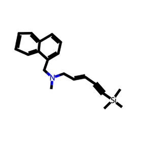 CN(CC=CC#C[Si](C)(C)C)Cc1cccc2ccccc12